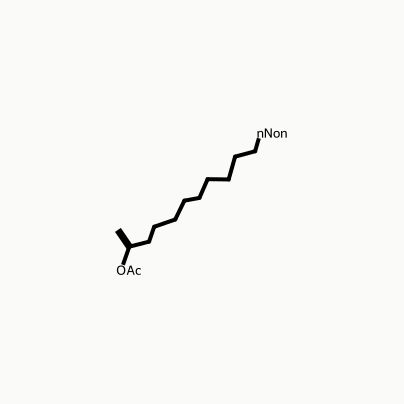 C=C(CCCCCCCCCCCCCCCCCC)OC(C)=O